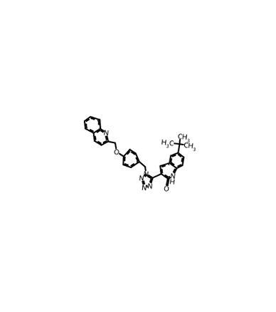 CC(C)(C)c1ccc2[nH]c(=O)c(-c3nnnn3Cc3ccc(OCc4ccc5ccccc5n4)cc3)cc2c1